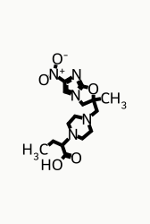 CCC(C(=O)O)N1CCN(CC2(C)Cn3cc([N+](=O)[O-])nc3O2)CC1